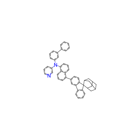 c1ccc(-c2cccc(N(c3cccnc3)c3cccc4c(-c5ccc6c(c5)-c5ccccc5C65C6CC7CC(C6)CC5C7)cccc34)c2)cc1